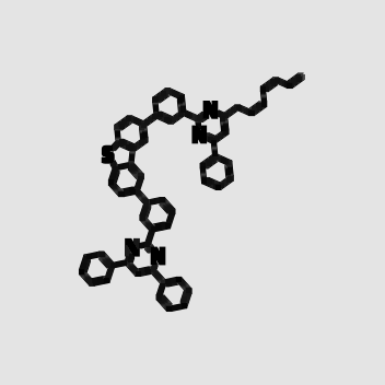 C=C/C=C\C=C/Cc1cc(-c2ccccc2)nc(-c2cccc(-c3ccc4sc5ccc(-c6cccc(-c7nc(-c8ccccc8)cc(-c8ccccc8)n7)c6)cc5c4c3)c2)n1